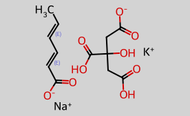 C/C=C/C=C/C(=O)[O-].O=C([O-])CC(O)(CC(=O)O)C(=O)O.[K+].[Na+]